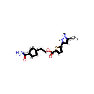 Cn1nc(-c2ccc(C(=O)OCCc3ccc(C(N)=O)cc3)s2)cc1C(F)(F)F